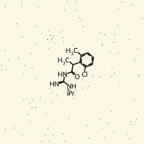 Cc1cccc(Cl)c1C(C)C(=O)NC(=N)NC(C)C